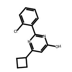 Oc1cc(C2CCC2)nc(-c2ccccc2Cl)n1